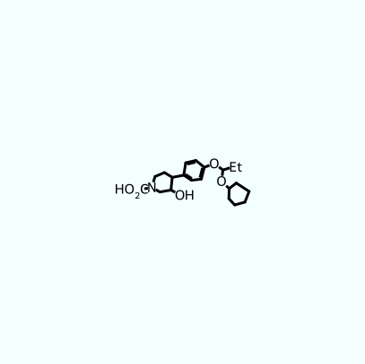 CCC(Oc1ccc(C2CCN(C(=O)O)CC2O)cc1)OC1CCCCC1